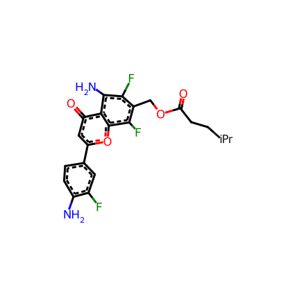 CC(C)CCC(=O)OCc1c(F)c(N)c2c(=O)cc(-c3ccc(N)c(F)c3)oc2c1F